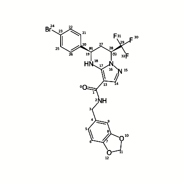 O=C(NCc1ccc2c(c1)OCO2)c1cnn2c1N[C@@H](c1ccc(Br)cc1)C[C@H]2C(F)(F)F